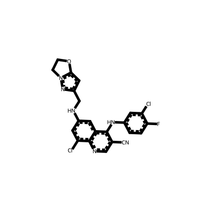 N#Cc1cnc2c(Cl)cc(NCc3cc4n(n3)CCO4)cc2c1Nc1ccc(F)c(Cl)c1